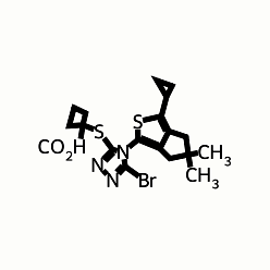 CC1(C)Cc2c(C3CC3)sc(-n3c(Br)nnc3SC3(C(=O)O)CCC3)c2C1